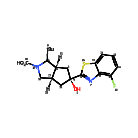 CC(C)(C)C1[C@H]2C[C@@](O)(c3nc4c(F)cccc4s3)C[C@H]2CN1C(=O)O